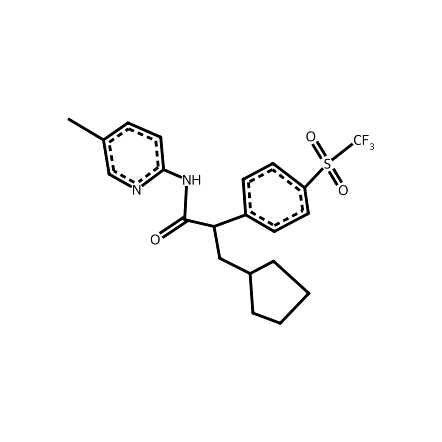 Cc1ccc(NC(=O)C(CC2CCCC2)c2ccc(S(=O)(=O)C(F)(F)F)cc2)nc1